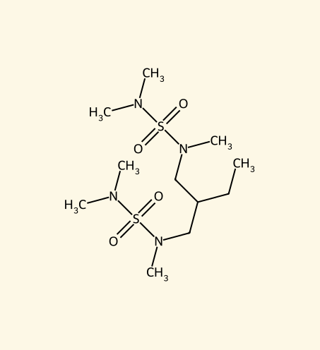 CCC(CN(C)S(=O)(=O)N(C)C)CN(C)S(=O)(=O)N(C)C